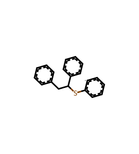 [c]1ccccc1SC(Cc1ccccc1)c1ccccc1